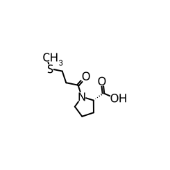 CSCCC(=O)N1CCC[C@H]1C(=O)O